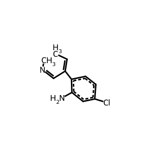 C/C=C(\C=N/C)c1ccc(Cl)cc1N